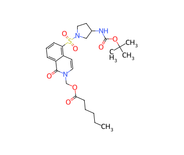 CCCCCC(=O)OCn1ccc2c(S(=O)(=O)N3CCC(NC(=O)OC(C)(C)C)C3)cccc2c1=O